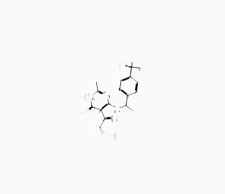 Cc1nc2c(c(CO)nn2C(C)c2ccc(C(F)(F)F)cc2)c(=O)[nH]1